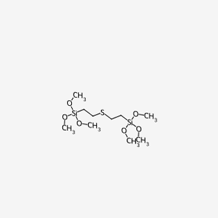 CO[Si](CCSCC[Si](OC)(OC)OC)(OC)OC